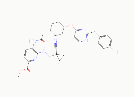 COC(=O)c1ccc(NC(=O)C[C@H]2CC[C@H](Oc3ccnc(Cc4ccc(Cl)cc4)n3)CC2)c(NCC2(C#N)CC2)n1